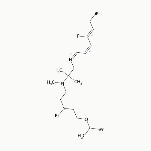 CCN(CCOC(C)C(C)C)CCN(C)C(C)(C)C\N=C/C=C\C(F)=C\CC(C)C